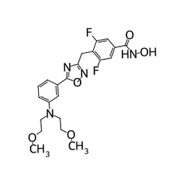 COCCN(CCOC)c1cccc(-c2nc(Cc3c(F)cc(C(=O)NO)cc3F)no2)c1